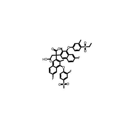 CCS(=O)(=O)c1ccc(Oc2c(C)c(C(CC(=O)O)(C(=O)O)c3cc4ccc(F)cc4c(Oc4ccc(S(C)(=O)=O)cc4F)c3C)cc3ccc(F)cc23)cc1C